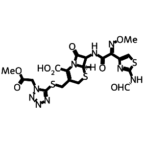 CON=C(C(=O)NC1C(=O)N2C(C(=O)O)=C(CSc3nnnn3CC(=O)OC)CS[C@@H]12)c1csc(NC=O)n1